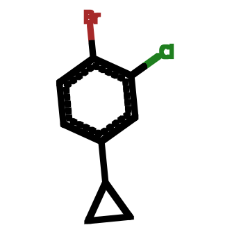 Clc1cc(C2CC2)ccc1Br